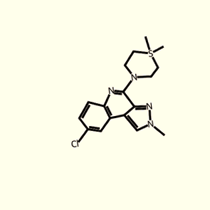 Cn1cc2c(n1)c(N1CCS(C)(C)CC1)nc1ccc(Cl)cc12